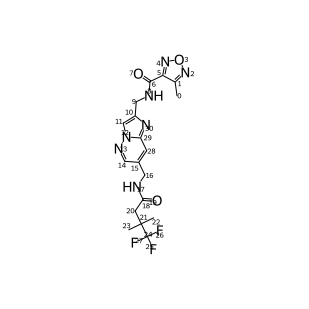 Cc1nonc1C(=O)NCc1cn2ncc(CNC(=O)CC(C)(C)C(F)(F)F)cc2n1